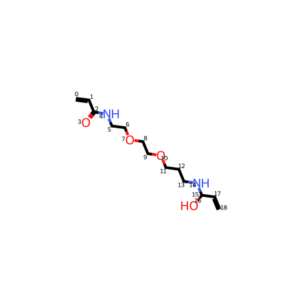 C=CC(=O)NCCOCCOCCCNC(O)C=C